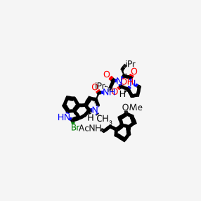 CC(C)C[C@H]1C(=O)N2CCC[C@H]2[C@]2(O)O[C@](NC(=O)[C@@H]3C=C4c5cccc6[nH]c(Br)c(c56)C[C@H]4N(C)C3)(C(C)C)C(=O)N12.COc1ccc2cccc(CCNC(C)=O)c2c1